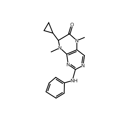 CN1C(=O)C(C2CC2)N(C)c2nc(Nc3ccccc3)ncc21